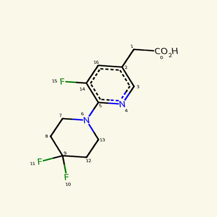 O=C(O)Cc1cnc(N2CCC(F)(F)CC2)c(F)c1